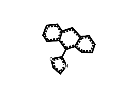 c1ccc2c(-c3ncco3)c3ccccc3cc2c1